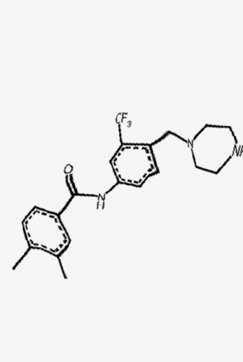 Cc1ccc(C(=O)Nc2ccc(CN3CCNCC3)c(C(F)(F)F)c2)cc1C